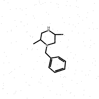 CC1CN(Cc2ccccc2)C(C)CN1